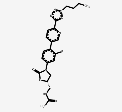 CCCCn1nnc(-c2ccc(-c3ccc(N4C[C@H](CNC(C)=O)OC4=O)cc3F)cn2)n1